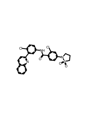 O=C(Nc1ccc(Cl)c(-c2ccc3ccccc3n2)c1)c1ccc(N2CCCS2(=O)=O)cc1Cl